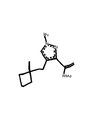 C=C(NC)c1nn(C(C)C)cc1CC1(C)CCC1